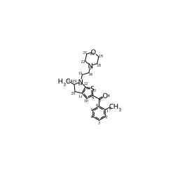 Cc1ccccc1C(=O)c1cc2c(s1)N(CCN1CCOCC1)C(C)C2